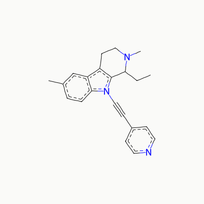 CCC1c2c(c3cc(C)ccc3n2C#Cc2ccncc2)CCN1C